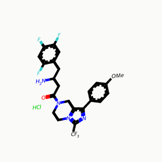 COc1ccc(-c2nc(C(F)(F)F)n3c2CN(C(=O)CC(N)Cc2cc(F)c(F)cc2F)CC3)cc1.Cl